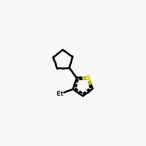 CCc1ccsc1C1CCCC1